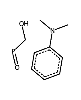 CN(C)c1ccccc1.O=PCO